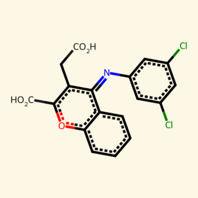 O=C(O)Cc1c(C(=O)O)oc2ccccc2c1=Nc1cc(Cl)cc(Cl)c1